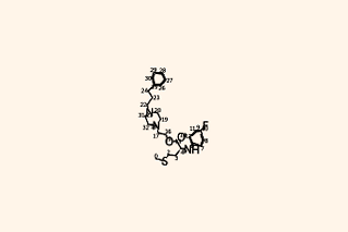 CSCC[C@H](Nc1ccc(F)cc1)C(=O)OCCN1CCN(CCCc2ccccc2)CC1